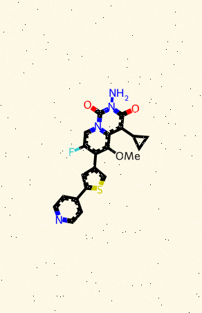 COc1c(-c2csc(-c3ccncc3)c2)c(F)cn2c(=O)n(N)c(=O)c(C3CC3)c12